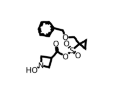 O=C(OS(=O)(=O)C1(COCc2ccccc2)CC1)C1CN(O)C1